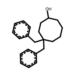 OC1CCCCC(Cc2ccccc2)(Cc2ccccc2)CC1